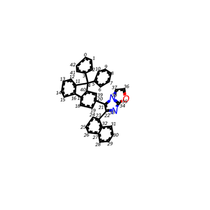 c1ccc(C2(c3ccccc3)c3ccccc3-c3ccc(-c4c(-c5cccc6ccccc56)nc5occn45)cc32)cc1